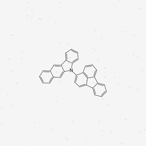 c1ccc2c(c1)-c1cccc3c(-n4c5ccccc5c5cc6ccccc6cc54)ccc-2c13